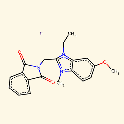 CCn1c(CN2C(=O)c3ccccc3C2=O)[n+](C)c2ccc(OC)cc21.[I-]